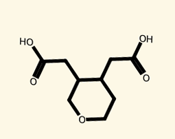 O=C(O)CC1CCOCC1CC(=O)O